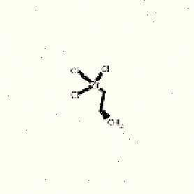 C=C[CH2][Zr]([Cl])([Cl])[Cl]